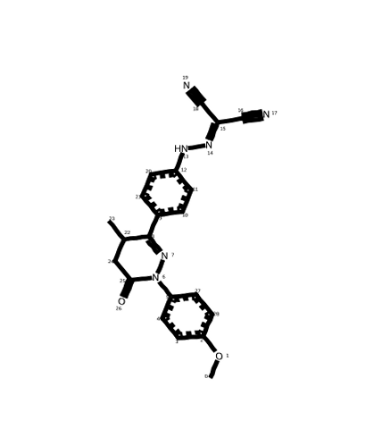 COc1ccc(N2N=C(c3ccc(NN=C(C#N)C#N)cc3)C(C)CC2=O)cc1